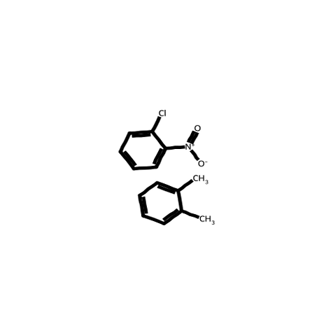 Cc1ccccc1C.O=[N+]([O-])c1ccccc1Cl